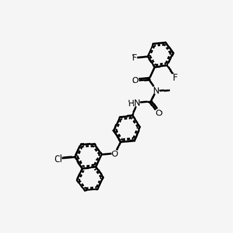 CN(C(=O)Nc1ccc(Oc2ccc(Cl)c3ccccc23)cc1)C(=O)c1c(F)cccc1F